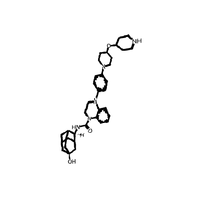 O=C(N[C@H]1C2CC3CC1C[C@@](O)(C3)C2)N1CCN(c2ccc(N3CCC(OC4CCNCC4)CC3)cc2)c2ccccc21